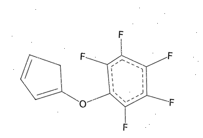 Fc1c(F)c(F)c(OC2=CC=CC2)c(F)c1F